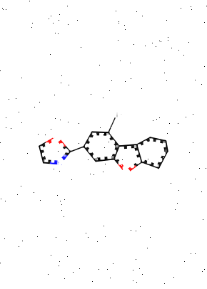 CC(C)c1cc(-c2ncco2)cc2oc3ccccc3c12